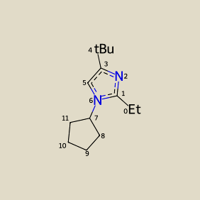 CCc1nc(C(C)(C)C)cn1C1CCCC1